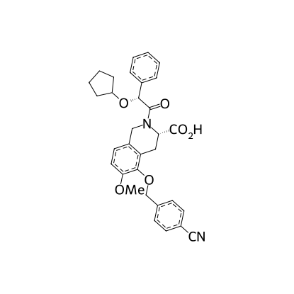 COc1ccc2c(c1OCc1ccc(C#N)cc1)C[C@@H](C(=O)O)N(C(=O)[C@H](OC1CCCC1)c1ccccc1)C2